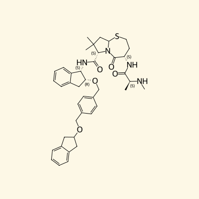 CN[C@@H](C)C(=O)N[C@H]1CCSC2CC(C)(C)[C@@H](C(=O)N[C@H]3c4ccccc4C[C@H]3OCc3ccc(COC4Cc5ccccc5C4)cc3)N2C1=O